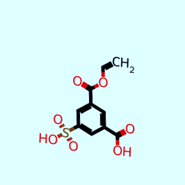 C=COC(=O)c1cc(C(=O)O)cc(S(=O)(=O)O)c1